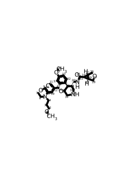 COCCCN1CCOc2ccc(CO[C@H]3CNC[C@@H](CNC(=O)C4[C@H]5COC[C@@H]45)[C@@H]3c3ccc(OC)cc3)cc21